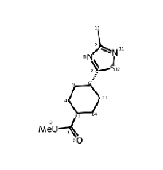 COC(=O)[C@H]1CC[C@H](c2nc(C)ns2)CC1